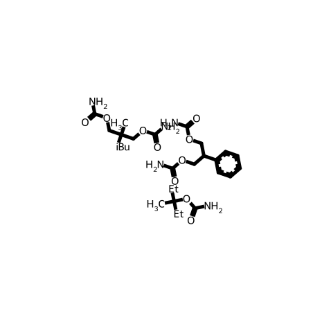 CCC(C)(CC)OC(N)=O.CCC(C)C(C)(COC(N)=O)COC(N)=O.NC(=O)OCC(COC(N)=O)c1ccccc1